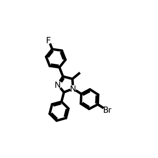 CC1C(c2ccc(F)cc2)=NC(c2ccccc2)N1c1ccc(Br)cc1